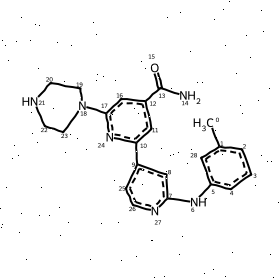 Cc1cccc(Nc2cc(-c3cc(C(N)=O)cc(N4CCNCC4)n3)ccn2)c1